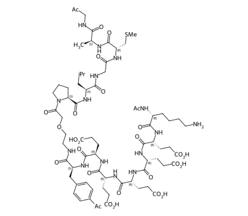 CSC[C@H](NC(=O)CNC(=O)[C@H](CC(C)C)NC(=O)[C@@H]1CCCN1C(=O)COCCNC(=O)[C@H](Cc1ccc(C(C)=O)cc1)NC(=O)[C@@H](CCC(=O)O)NC(=O)[C@@H](CCC(=O)O)NC(=O)[C@@H](CCC(=O)O)NC(=O)[C@@H](CCC(=O)O)NC(=O)[C@@H](CCC(=O)O)NC(=O)[C@@H](CCCCN)NC(C)=O)C(=O)N[C@@H](C)C(=O)NCC(C)=O